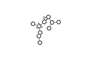 c1ccc(-c2cc(-c3ccccc3)cc(-c3cccc4oc5cc(-c6nc(-c7ccccc7)nc(-c7ccc8cc(-c9ccccc9)ccc8c7)n6)ccc5c34)c2)cc1